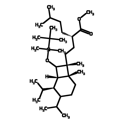 COC(=O)[C@@H](CCC(C)C)CC[C@@]1(C)C(O[Si](C)(C)C(C)(C)C)[C@H]2[C@H](C(C)C)C(C(C)C)CC[C@]21C